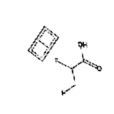 O=C(O)C(F)CF.c1cc2ccc1-2